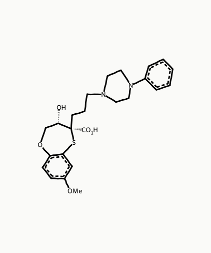 COc1ccc2c(c1)S[C@@](CCCN1CCN(c3ccccc3)CC1)(C(=O)O)[C@@H](O)CO2